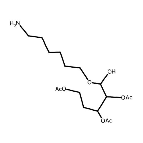 CC(=O)OCCC(OC(C)=O)C(OC(C)=O)C(O)OCCCCCCN